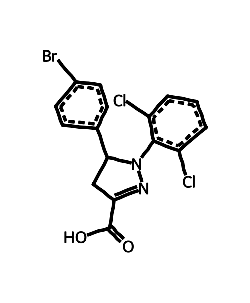 O=C(O)C1=NN(c2c(Cl)cccc2Cl)C(c2ccc(Br)cc2)C1